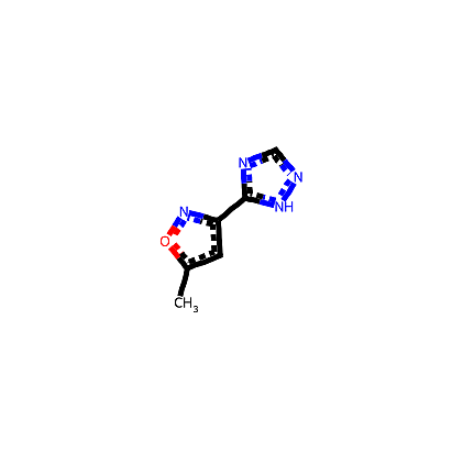 Cc1cc(-c2ncn[nH]2)no1